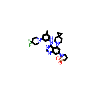 Cc1cc(Nc2ncnc3cc(N4CCCS4(=O)=O)cc(N4CCC5(CC4)CC5)c23)cc(N2CCC(F)(F)CC2)c1